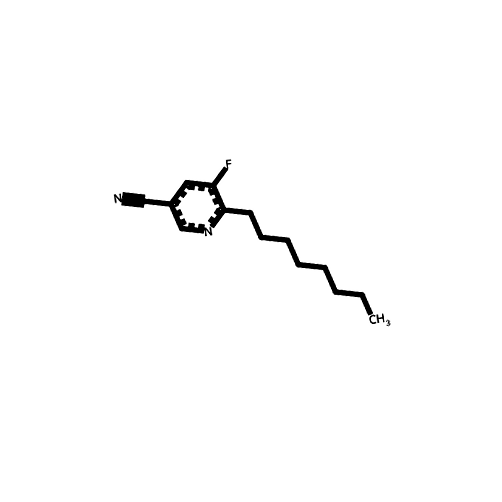 CCCCCCCCc1ncc(C#N)cc1F